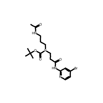 CC(=O)NCCCN(CCC(=O)Nc1cc(Br)ccn1)C(=O)OC(C)(C)C